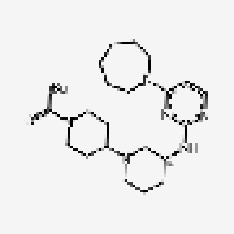 CCC(C)C(=O)N1CCC(N2CCC[C@H](Nc3nccc(N4CCCCCC4)n3)C2)CC1